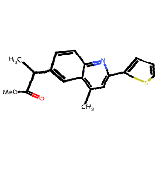 COC(=O)C(C)c1ccc2nc(-c3cccs3)cc(C)c2c1